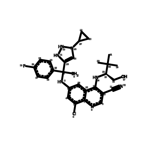 BC(Nc1cc(Cl)c2ncc(C#N)c(N[C@H](CO)C(C)(C)C)c2c1)(C1=CN(C2CC2)NN1)c1ccc(F)cc1